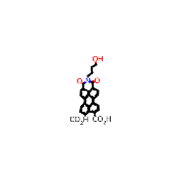 O=C(O)c1ccc2c3ccc4c5c(ccc(c6ccc(C(=O)O)c1c26)c53)C(=O)N(CCCCO)C4=O